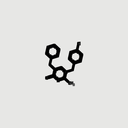 Cc1nc(=O)c(Cc2ccccc2)cn1Cc1ccc(Cl)cc1